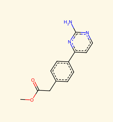 COC(=O)Cc1ccc(-c2ccnc(N)n2)cc1